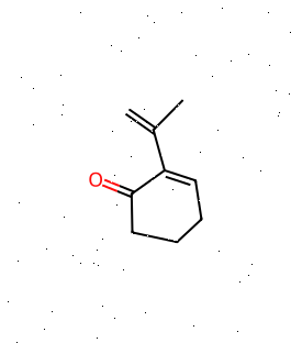 C=C(C)C1=CCCCC1=O